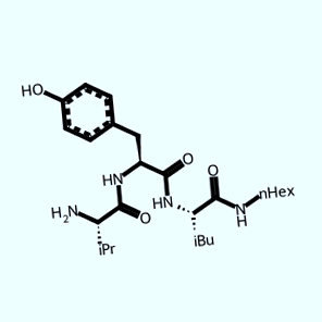 CCCCCCNC(=O)[C@@H](NC(=O)[C@H](Cc1ccc(O)cc1)NC(=O)[C@@H](N)C(C)C)[C@@H](C)CC